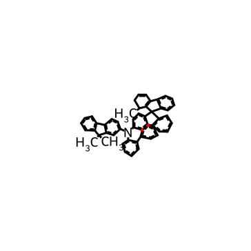 CC1CC=CC2=C1C1(c3ccccc32)c2ccccc2-c2cc(N(c3ccc4c(c3)C(C)(C)c3ccccc3-4)c3ccccc3-c3ccccc3)ccc21